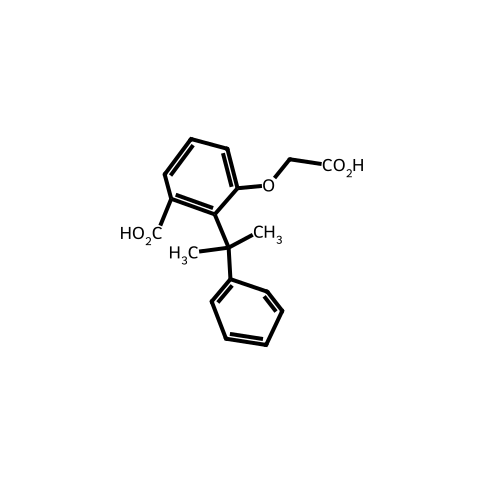 CC(C)(c1ccccc1)c1c(OCC(=O)O)cccc1C(=O)O